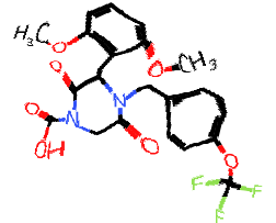 COc1cccc(OC)c1C1C(=O)N(C(=O)O)CC(=O)N1Cc1ccc(OC(F)(F)F)cc1